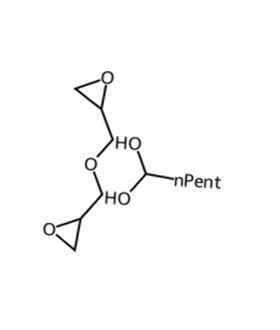 C(OCC1CO1)C1CO1.CCCCCC(O)O